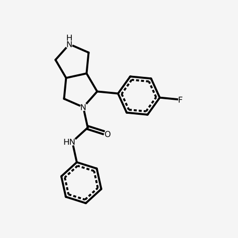 O=C(Nc1ccccc1)N1CC2CNCC2C1c1ccc(F)cc1